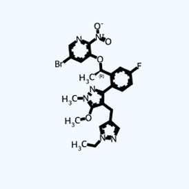 CCn1cc(Cc2c(-c3ccc(F)cc3[C@@H](C)Oc3cc(Br)cnc3[N+](=O)[O-])nn(C)c2OC)cn1